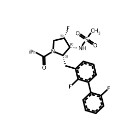 CC(C)C(=O)N1C[C@H](F)[C@H](NS(C)(=O)=O)[C@@H]1Cc1cccc(-c2ccccc2F)c1F